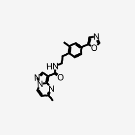 Cc1ccn2ncc(C(=O)NCCc3ccc(-c4cnco4)cc3C)c2n1